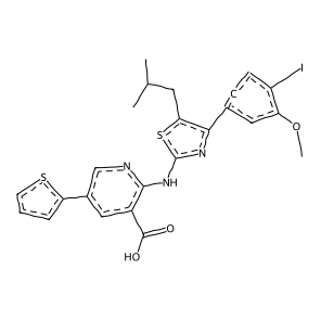 COc1cc(-c2nc(Nc3ncc(-c4cccs4)cc3C(=O)O)sc2CC(C)C)ccc1I